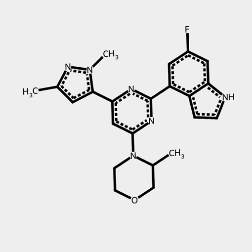 Cc1cc(-c2cc(N3CCOCC3C)nc(-c3cc(F)cc4[nH]ccc34)n2)n(C)n1